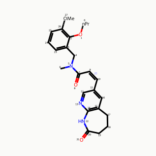 CCCOc1c(CN(C)C(=O)/C=C\c2cnc3c(c2)CCCC(=O)N3)cccc1OC